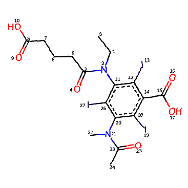 CCN(C(=O)CCCC(=O)O)c1c(I)c(C(=O)O)c(I)c(N(C)C(C)=O)c1I